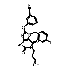 Cn1c(=O)n(CCCO)c(=O)c2c1nc(Oc1cccc(C#N)c1)n2Cc1ccc(F)cc1